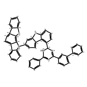 c1ccc(C2=NC(c3cccc(-c4ccccc4)c3)=NC(c3cccc4oc5cc(-n6c7ccccc7c7ccc8c9ccccc9oc8c76)ccc5c34)N2)cc1